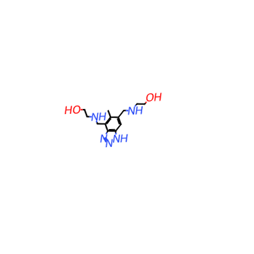 Cc1c(CNCCO)cc2[nH]nnc2c1CNCCO